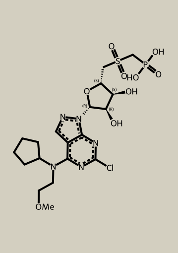 COCCN(c1nc(Cl)nc2c1cnn2[C@@H]1O[C@H](CS(=O)(=O)CP(=O)(O)O)[C@@H](O)[C@H]1O)C1CCCC1